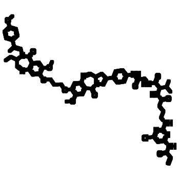 C=CC(=O)Nc1cc(Cl)nc(NCCCC(=O)NC(C(=O)NCC(=O)Nc2ccc(C3=CN4C(=O)c5cc(OC)c(OCCCOc6cc7c(cc6OC)C(=O)N(/C=C(\C)c6ccc(OC)cc6)C(CC)C=N7)cc5N=CC4C3)cc2)C(C)C)n1